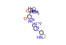 COc1cc(C(=O)N2C[C@H]3CC[C@@H]2[C@@H]3N)cc2nc(-c3cc4ccc(-c5ccc6c(c5)NCCC6)nc4n3CC3CC3)n(C)c12